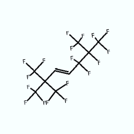 FC(F)(F)C(F)(C(F)(F)F)C(F)(F)/C=C/C(C(F)(F)F)(C(F)(F)F)C(F)(F)F